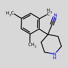 Cc1cc(C)c(C2(C#N)CCNCC2)c(C)c1